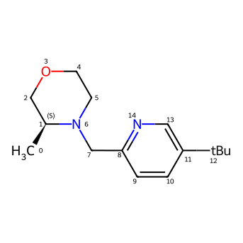 C[C@H]1COCCN1Cc1ccc(C(C)(C)C)cn1